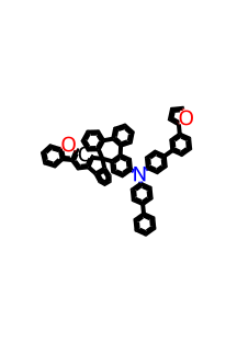 c1ccc(-c2ccc(N(c3ccc(-c4cccc(-c5ccco5)c4)cc3)c3ccc4c(c3)-c3ccccc3-c3ccccc3C43c4ccccc4-c4cc5c(cc43)oc3ccccc35)cc2)cc1